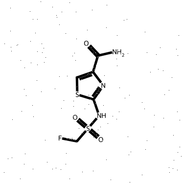 NC(=O)c1csc(NS(=O)(=O)CF)n1